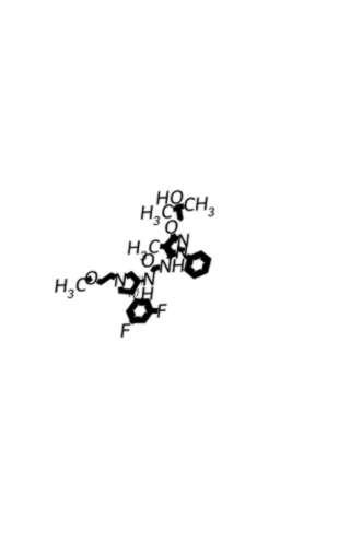 COCCN1C[C@@H](NC(=O)Nc2c(C)c(OCC(C)(C)O)nn2-c2ccccc2)[C@H](c2cc(F)cc(F)c2)C1